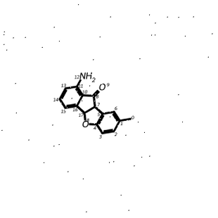 Cc1ccc2c(c1)C1C(=O)c3c(N)cccc3C1O2